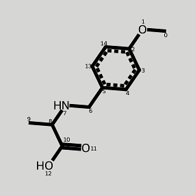 COc1ccc(CNC(C)C(=O)O)cc1